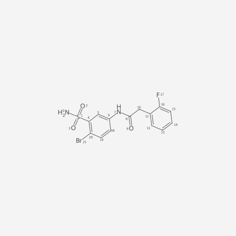 NS(=O)(=O)c1cc(NC(=O)Cc2ccccc2F)ccc1Br